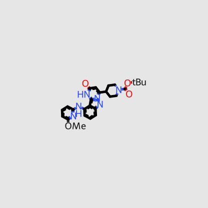 COc1cccc(Nc2cccc3nn4c(C5CCN(C(=O)OC(C)(C)C)CC5)cc(=O)[nH]c4c23)n1